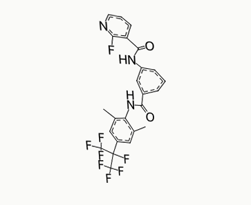 Cc1cc(C(F)(C(F)(F)F)C(F)(F)F)cc(C)c1NC(=O)c1cccc(NC(=O)c2cccnc2F)c1